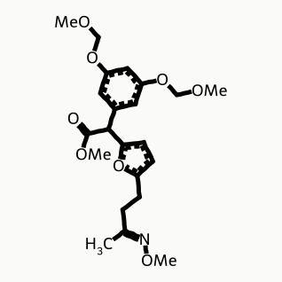 COCOc1cc(OCOC)cc(C(C(=O)OC)c2ccc(CCC(C)=NOC)o2)c1